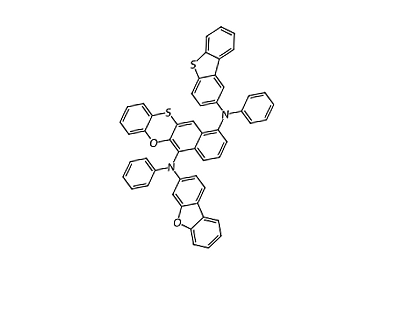 c1ccc(N(c2ccc3sc4ccccc4c3c2)c2cccc3c(N(c4ccccc4)c4ccc5c(c4)oc4ccccc45)c4c(cc23)Sc2ccccc2O4)cc1